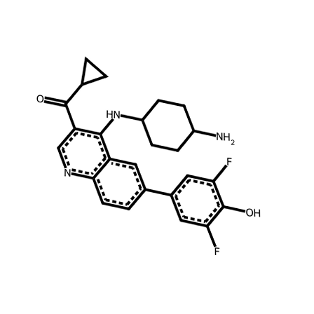 NC1CCC(Nc2c(C(=O)C3CC3)cnc3ccc(-c4cc(F)c(O)c(F)c4)cc23)CC1